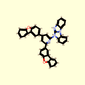 c1ccc2c(c1)nc1n(-c3cc(-c4ccc5oc6ccccc6c5c4)cc(-c4ccc5oc6ccccc6c5c4)n3)c3ccccc3n21